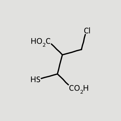 O=C(O)C(S)C(CCl)C(=O)O